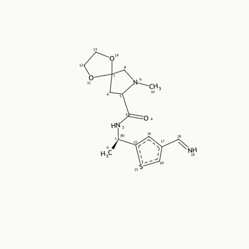 C[C@@H](NC(=O)C1CC2(CN1C)OCCO2)c1cc(C=N)cs1